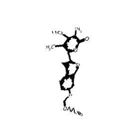 COCOc1ccc2cc(-c3oc(=O)c(C)c(O)c3C)oc2c1